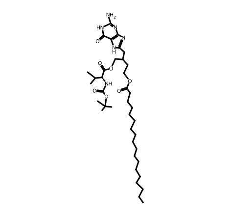 CCCCCCCCCCCCCCCCCC(=O)OCCC(COC(=O)[C@@H](NC(=O)OC(C)(C)C)C(C)C)Cc1nc2nc(N)[nH]c(=O)c2[nH]1